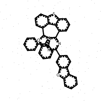 c1ccc(-c2nc(-c3ccc4c(c3)oc3ccccc34)nc(-c3cccc4sc5cccc(-c6nc7ccccc7o6)c5c34)n2)cc1